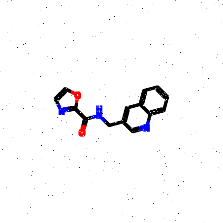 O=C(NCc1cnc2ccccc2c1)c1ncco1